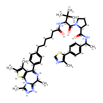 Cc1ncsc1-c1ccc(C(C)NC(=O)C2CCCN2C(=O)C(NC(=O)CCCCCc2ccc(C3=NC(C)c4nnc(C)n4-c4sc(C)c(C)c43)cc2)C(C)(C)C)cc1